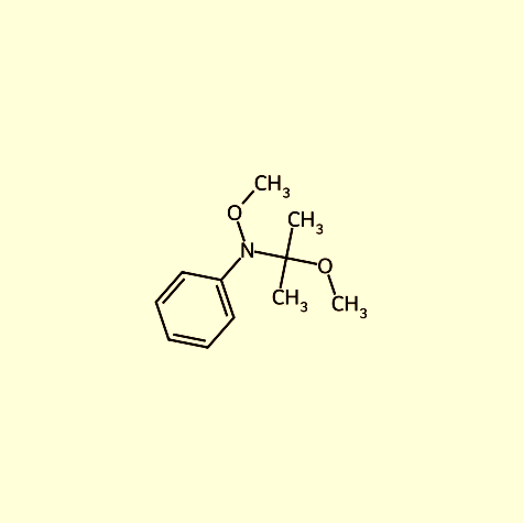 CON(c1ccccc1)C(C)(C)OC